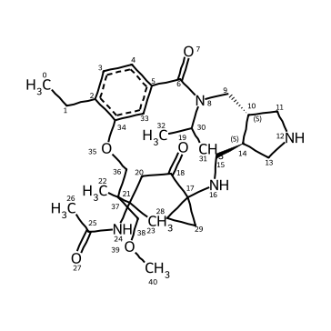 CCc1ccc(C(=O)N(C[C@@H]2CNC[C@H]2CNC2(C(=O)CC(C)(C)NC(C)=O)CC2)C(C)C)cc1OCCCOC